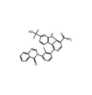 Cc1c(-c2ncc(C(N)=O)c3[nH]c4cc(C(C)(C)O)ccc4c23)cccc1-n1cnc2ccccc2c1=O